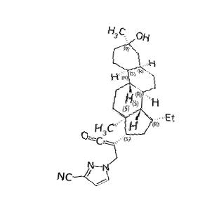 CC[C@@H]1C[C@H](C(=C=O)Cn2ccc(C#N)n2)[C@@]2(C)CC[C@H]3[C@@H](CC[C@@H]4C[C@](C)(O)CC[C@@H]43)[C@H]12